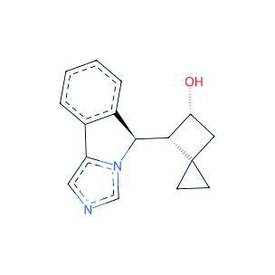 O[C@@H]1CC2(CC2)[C@@H]1[C@@H]1c2ccccc2-c2cncn21